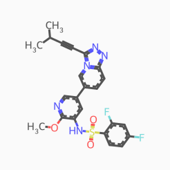 COc1ncc(-c2ccc3nnc(C#CC(C)C)n3c2)cc1NS(=O)(=O)c1ccc(F)cc1F